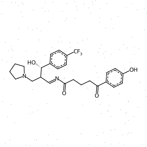 O=C(CCCC(=O)c1ccc(O)cc1)/N=C/C(CN1CCCC1)[C@H](O)c1ccc(C(F)(F)F)cc1